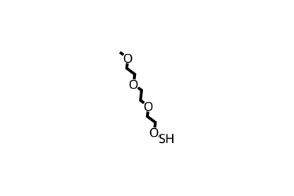 COCCOCCOCCOS